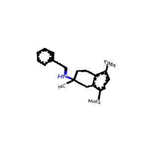 COc1ccc(OC)c2c1CCC(C#N)(NCc1ccccc1)C2